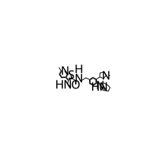 CNc1c(C(=O)NCCc2ccc(N3CC4CCC(C3)N4)c(C3CCN(C)C3)c2)sc2nc(C)ccc12